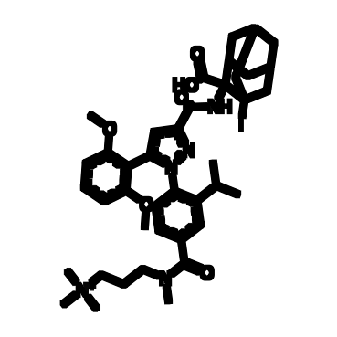 COc1cccc(OC)c1-c1cc(C(=O)NC2(C(=O)O)C3CC4CC(C3)CC2(I)C4)nn1-c1ccc(C(=O)N(C)CCC[N+](C)(C)C)cc1C(C)C